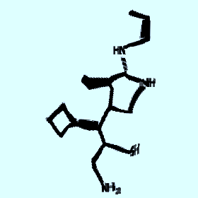 C=C1C(C(=C2CCC2)C(S)CN)CN[C@H]1N/C=C\C